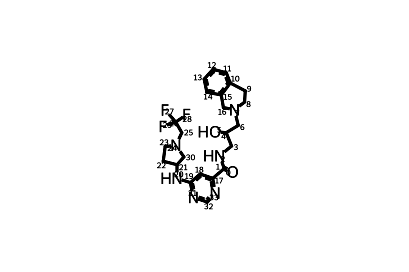 O=C(NCC(O)CN1CCc2ccccc2C1)c1cc(NC2CCN(CC(F)(F)F)C2)ncn1